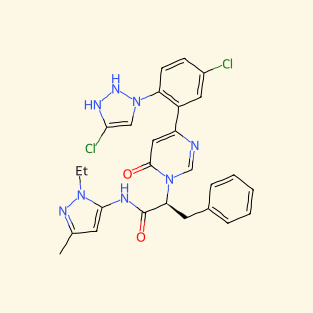 CCn1nc(C)cc1NC(=O)[C@H](Cc1ccccc1)n1cnc(-c2cc(Cl)ccc2N2C=C(Cl)NN2)cc1=O